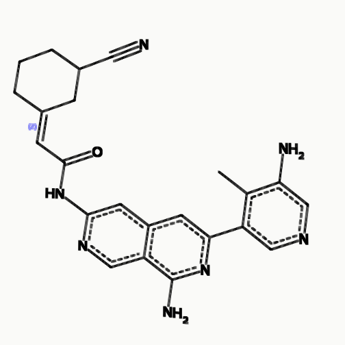 Cc1c(N)cncc1-c1cc2cc(NC(=O)/C=C3/CCCC(C#N)C3)ncc2c(N)n1